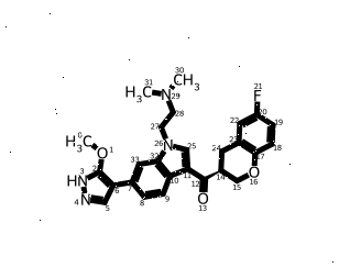 COc1[nH]ncc1-c1ccc2c(C(=O)[C@@H]3COc4ccc(F)cc4C3)cn(CCN(C)C)c2c1